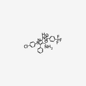 NCc1c(NS(=O)(=O)c2ccc(C(F)(F)F)cc2)nn(-c2ccc(Cl)cc2)c1-c1ccccc1